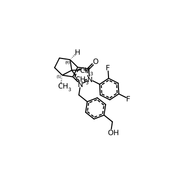 CC1(C)[C@H]2CC[C@]1(C)c1c2c(=O)n(-c2ccc(F)cc2F)n1Cc1ccc(CO)cc1